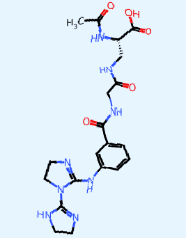 CC(=O)N[C@@H](CNC(=O)CNC(=O)c1cccc(NC2=NCCN2C2=NCCN2)c1)C(=O)O